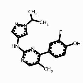 Cc1cnc(Nc2cnn(C(C)C)c2)nc1-c1ccc(O)c(F)c1